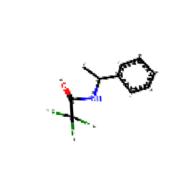 [CH2]C(NC(=O)C(F)(F)F)c1ccccc1